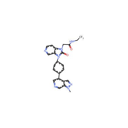 Cn1ncc2c(-c3ccc(-n4c(=O)n(CC(=O)NCC(F)(F)F)c5ccncc54)cc3)cncc21